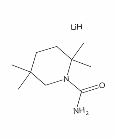 CC1(C)CCC(C)(C)N(C(N)=O)C1.[LiH]